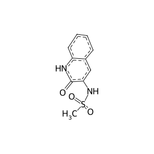 CS(=O)(=O)Nc1cc2ccccc2[nH]c1=O